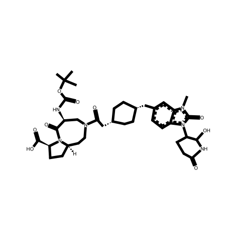 Cn1c(=O)n(C2CCC(=O)NC2O)c2ccc(C[C@H]3CC[C@@H](CC(=O)N4CC[C@H]5CC[C@@H](C(=O)O)N5C(=O)[C@@H](NC(=O)OC(C)(C)C)C4)CC3)cc21